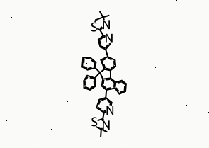 CC1(C)CSC(c2ccc(-c3ccc4c(c3)C(c3ccccc3)(c3ccccc3)c3cc(-c5ccc(C6=NC(C)(C)CS6)nc5)c5ccccc5c3-4)cn2)=N1